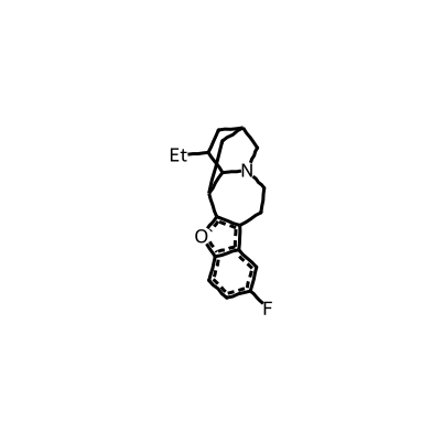 CCC1CC2CC3c4oc5ccc(F)cc5c4CCN(C2)C13